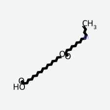 CCCC/C=C\CCCCCCCC(=O)OCCCCCCCCCCCCCCCC(=O)O